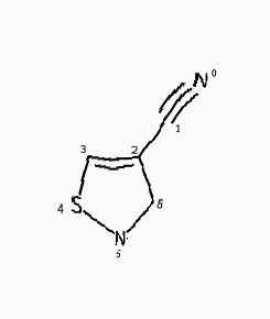 N#CC1=CS[N]C1